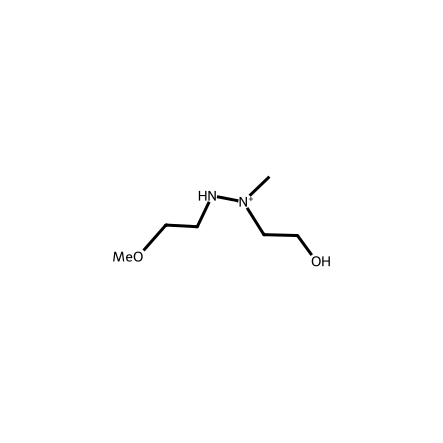 COCCN[N+](C)CCO